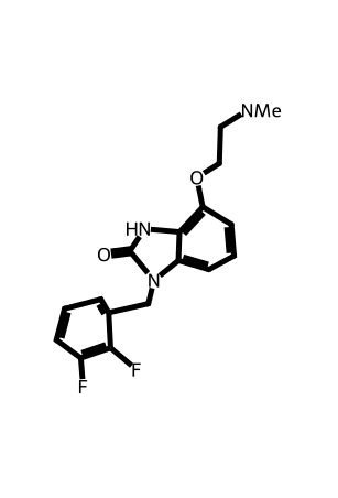 CNCCOc1cccc2c1[nH]c(=O)n2Cc1cccc(F)c1F